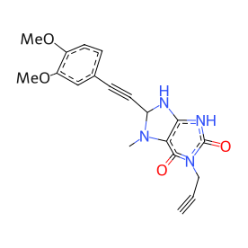 C#CCn1c(=O)[nH]c2c(c1=O)N(C)C(C#Cc1ccc(OC)c(OC)c1)N2